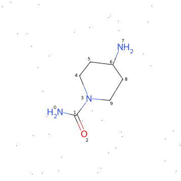 NC(=O)N1CCC(N)CC1